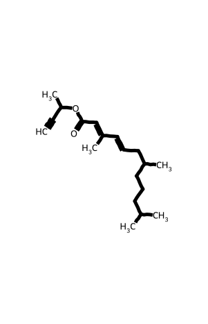 C#CC(C)OC(=O)/C=C(C)/C=C/CC(C)CCCC(C)C